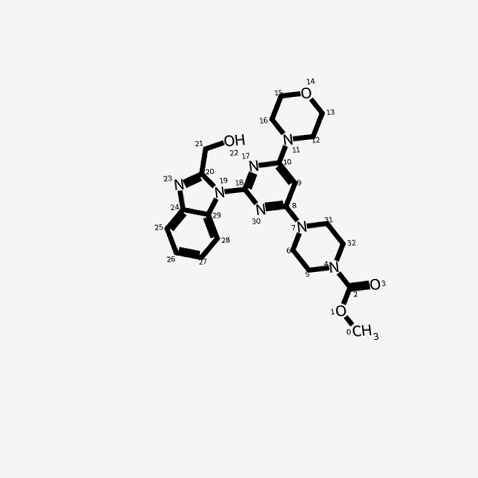 COC(=O)N1CCN(c2cc(N3CCOCC3)nc(-n3c(CO)nc4ccccc43)n2)CC1